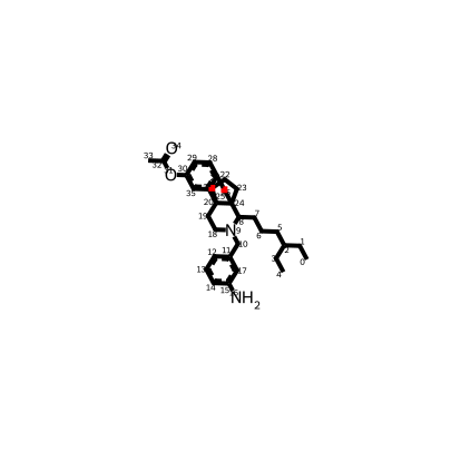 CCC(CC)CCCC1N(Cc2cccc(N)c2)CCC23CCCC12CCc1ccc(OC(C)=O)cc13